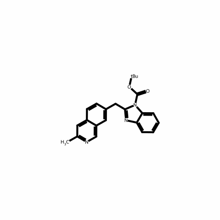 Cc1cc2ccc(Cc3nc4ccccc4n3C(=O)OC(C)(C)C)cc2cn1